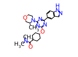 C[C@H]1COCCN1c1nc(O[C@H]2CC[C@H](C(=O)N(C)C)CC2)nc(-c2ccc3[nH]ncc3c2)n1